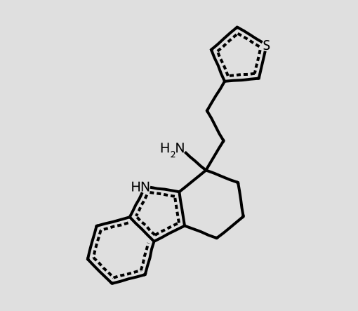 NC1(CCc2ccsc2)CCCc2c1[nH]c1ccccc21